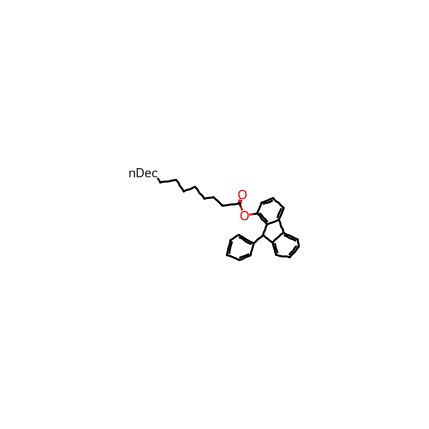 CCCCCCCCCCCCCCCCCC(=O)Oc1cccc2c1C(c1ccccc1)c1ccccc1-2